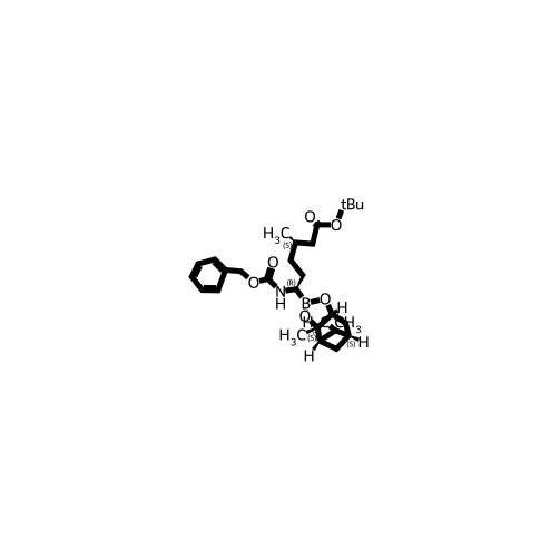 C[C@@H](CC[C@H](NC(=O)OCc1ccccc1)B1O[C@@H]2C[C@@H]3C[C@@H](C3(C)C)[C@]2(C)O1)CC(=O)OC(C)(C)C